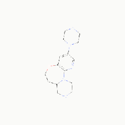 c1nc2c(cc1N1CCNCC1)OCCC1CNCCN21